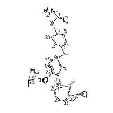 NC(=O)Cc1ccc(Cc2cnc(OC(F)F)c(-c3cccc(Cl)c3)c2)cc1